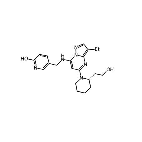 CCc1cnn2c(NCc3ccc(O)nc3)cc(N3CCCC[C@H]3CCO)nc12